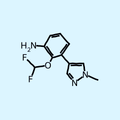 Cn1cc(-c2cccc(N)c2OC(F)F)cn1